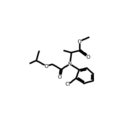 COC(=O)C(C)N(C(=O)COC(C)C)c1ccccc1Cl